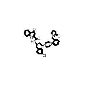 O=C(N[C@@H](CCN1CCN(c2ccccc2CN2CCCC2=O)CC1)Cc1ccc(Cl)cc1)c1cc(=O)c2ccccc2o1